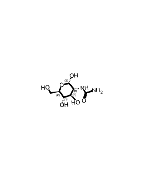 NC(=O)N[C@@H]1[C@@H](O)[C@H](O)[C@@H](CO)O[C@@H]1O